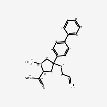 C=CCSC1(c2ccc(-c3ccccc3)cc2)CC(C(=O)OC)N(C(=O)O)C1